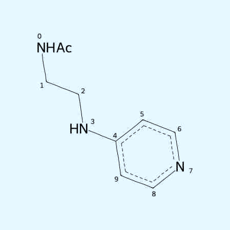 CC(=O)NCCNc1ccncc1